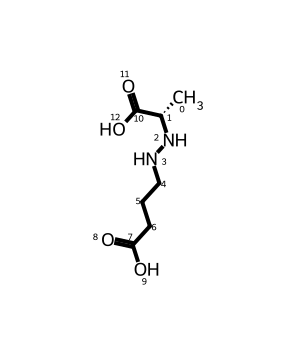 C[C@H](NNCCCC(=O)O)C(=O)O